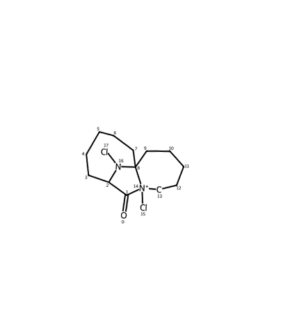 O=C1C2CCCCCC3(CCCCC[N+]13Cl)N2Cl